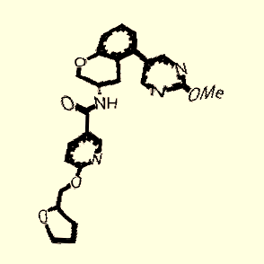 COc1ncc(-c2cccc3c2C[C@H](NC(=O)c2ccc(OCC4CCCO4)nc2)CO3)cn1